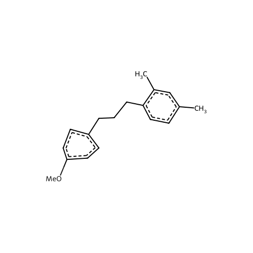 COc1ccc(CCCc2ccc(C)cc2C)cc1